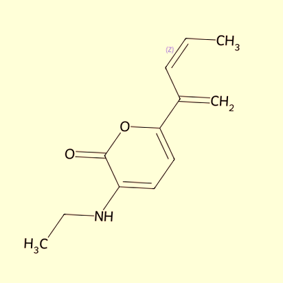 C=C(/C=C\C)c1ccc(NCC)c(=O)o1